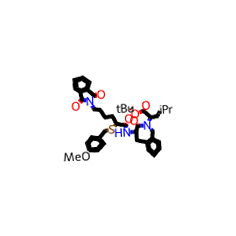 COc1ccc(CSC(CCCCN2C(=O)c3ccccc3C2=O)C(=O)NC2Cc3ccccc3CN(C(CC(C)C)C(=O)OC(C)(C)C)C2=O)cc1